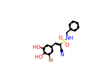 N#C/C(=C\c1cc(O)c(O)c(Br)c1)S(=O)(=O)NCc1ccccc1